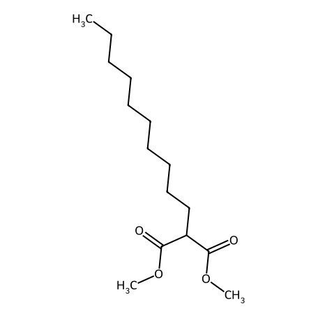 CCCCCCCCCCC(C(=O)OC)C(=O)OC